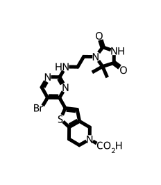 CC1(C)C(=O)NC(=O)N1CCNc1ncc(Br)c(-c2cc3c(s2)CCN(C(=O)O)C3)n1